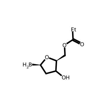 B[C@@H]1CC(O)[C@H](COC(=O)CC)O1